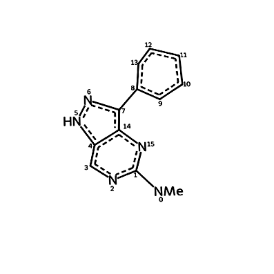 CNc1ncc2[nH]nc(-c3ccccc3)c2n1